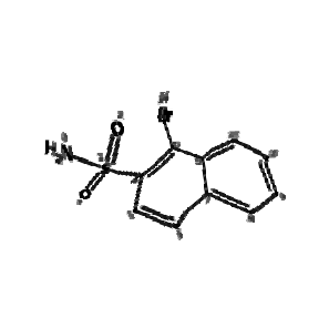 NS(=O)(=O)c1ccc2ccccc2c1Br